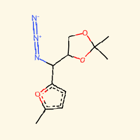 Cc1ccc(C(N=[N+]=[N-])C2COC(C)(C)O2)o1